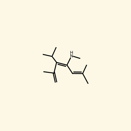 C=C(C)/C(=C(\C=C(C)C)NC)C(C)C